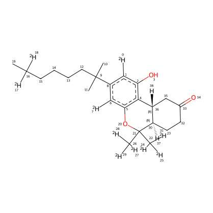 [2H]c1c(O)c2c(c([2H])c1C(C)(C)CCCCC([2H])([2H])C)OC(C([2H])([2H])[2H])(C([2H])([2H])[2H])[C@@H]1CCC(=O)C[C@@H]21